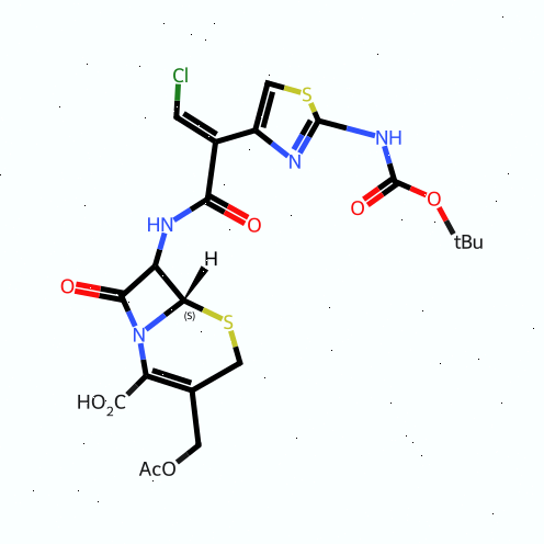 CC(=O)OCC1=C(C(=O)O)N2C(=O)C(NC(=O)C(=CCl)c3csc(NC(=O)OC(C)(C)C)n3)[C@@H]2SC1